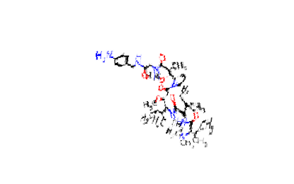 CC[C@H](C)[C@@H]([C@@H](CC(=O)N1CCC[C@H]1[C@H](OC)[C@@H](C)C(=O)NCC(=O)NCc1ccc(N)cc1)OC)N(C)C(=O)[C@@H](NC(=O)[C@H](C(C)C)N(C)C)C(C)C